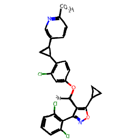 [2H]C(Oc1ccc(C2CC2c2ccc(C(=O)O)nc2)c(Cl)c1)c1c(-c2c(Cl)cccc2Cl)noc1C1CC1